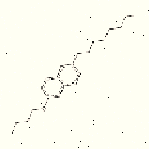 CCCCCCCCc1ccc2cc(OCCCC)ccc2c1